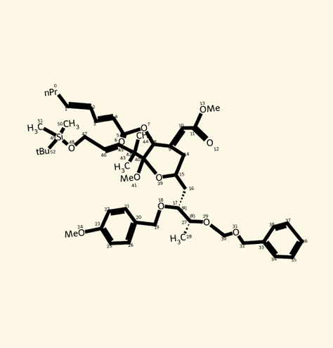 CCCC=CC=CC(=O)OC1C(=CC(=O)OC)CC(C[C@@H](OCc2ccc(OC)cc2)[C@@H](C)OCOCc2ccccc2)OC1(OC)C(C)(C)C=CCO[Si](C)(C)C(C)(C)C